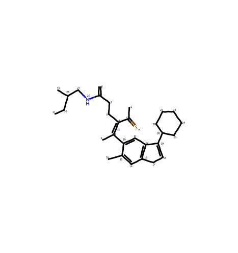 C=C(CC/C(C(C)=S)=C(\C)c1cc2c(cc1C)CC=C2C1CCCCC1)NCC(C)CC